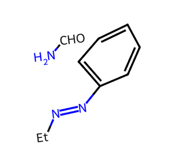 CCN=Nc1ccccc1.NC=O